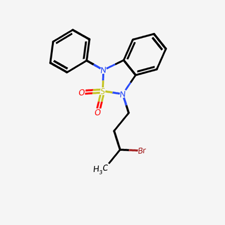 CC(Br)CCN1c2ccccc2N(c2ccccc2)S1(=O)=O